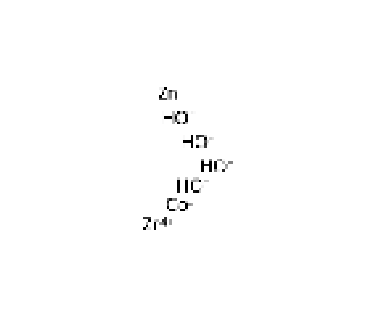 [Co].[OH-].[OH-].[OH-].[OH-].[Zn].[Zr+4]